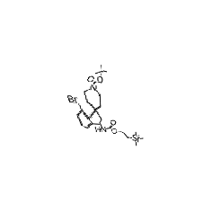 CC(C)(C)OC(=O)N1CCC2(CC1)CC(NC(=O)OCC[Si](C)(C)C)c1cccc(Br)c12